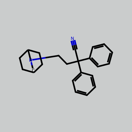 N#CC(CCN1CC2CCC(CC2)C1)(c1ccccc1)c1ccccc1